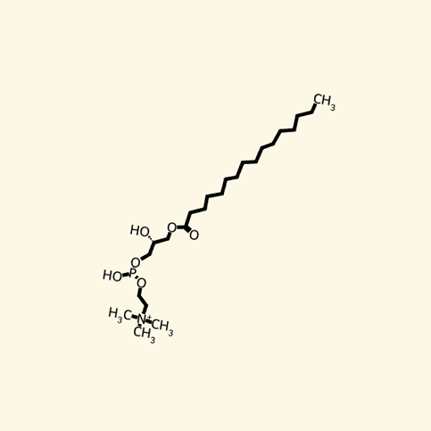 CCCCCCCCCCCCCCCC(=O)OC[C@@H](O)COP(O)OCC[N+](C)(C)C